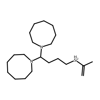 C=C(C)[SiH2]CCCC(N1CCCCCCC1)N1CCCCCCC1